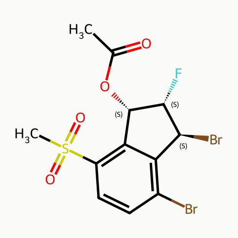 CC(=O)O[C@H]1c2c(S(C)(=O)=O)ccc(Br)c2[C@H](Br)[C@H]1F